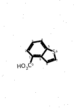 O=C(O)c1[c]ccc2sccc12